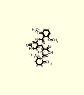 COc1cccc(OC)c1C(=O)Nc1nc(=O)[nH]cc1CC(NC(=O)N1C(C)CCCC1C)C(=O)O